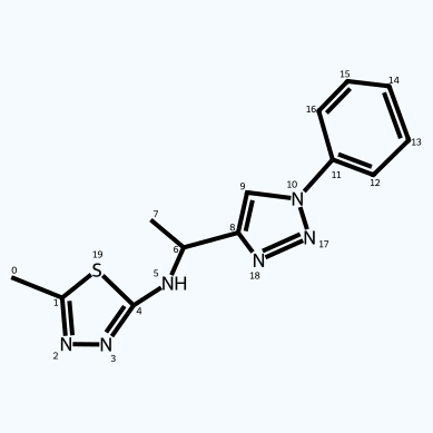 Cc1nnc(NC(C)c2cn(-c3ccccc3)nn2)s1